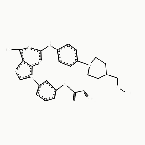 C=CC(=O)Nc1cccc(-n2cnc3c(N)nc(Nc4ccc(N5CCC(COC)CC5)cc4)nc32)c1